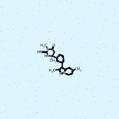 Cc1ccn2nc(C)c(-c3cccc([C@]4(C)CC(=O)N(C)C(=N)N4)c3)c2c1